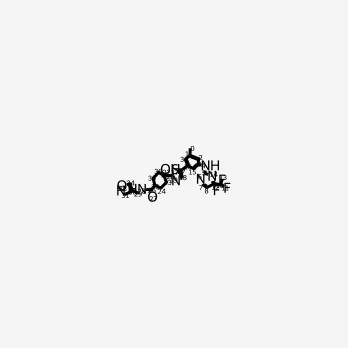 Cc1cc(Nc2nccc(C(F)(F)F)n2)cc(-c2cnc(C3(O)CCC(C(=O)NCc4cnoc4)CC3)s2)c1